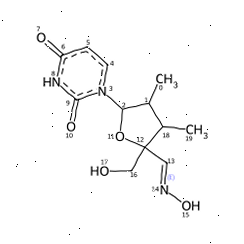 CC1C(n2ccc(=O)[nH]c2=O)OC(/C=N/O)(CO)C1C